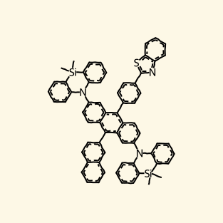 C[Si]1(C)c2ccccc2N(c2ccc3c(-c4ccc5ccccc5c4)c4cc(N5c6ccccc6[Si](C)(C)c6ccccc65)ccc4c(-c4ccc(-c5nc6ccccc6s5)cc4)c3c2)c2ccccc21